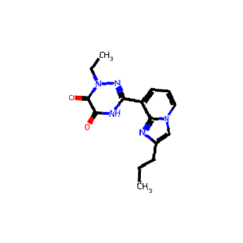 CCCc1cn2cccc(-c3nn(CC)c(=O)c(=O)[nH]3)c2n1